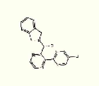 C[C@H](c1nccnc1-c1ccc(Cl)cn1)N1Cc2ccccc2C1